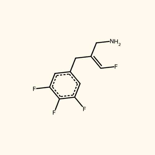 NCC(=CF)Cc1cc(F)c(F)c(F)c1